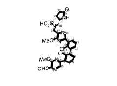 COc1nc(-c2cccc(-c3cccc(-c4cnc(CN(C[C@@H]5CCC(=O)N5)C(=O)O)c(OC)n4)c3Cl)c2Cl)cnc1C=O